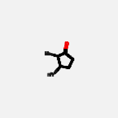 CCCC1CCC(=O)C1CC